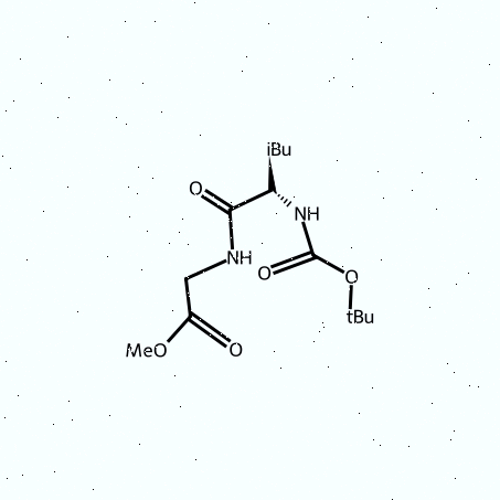 CC[C@H](C)[C@H](NC(=O)OC(C)(C)C)C(=O)NCC(=O)OC